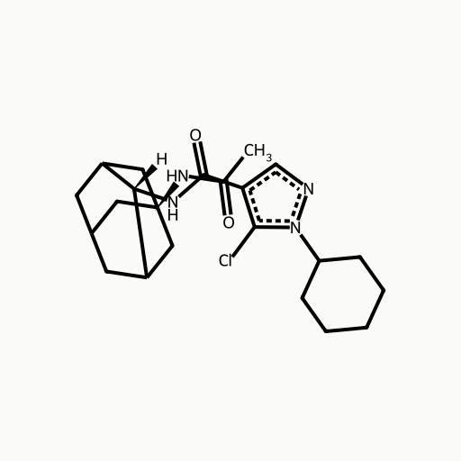 CC(=O)N[C@]12CC3CC(C1)[C@@H](NC(=O)c1cnn(C4CCCCC4)c1Cl)C(C3)C2